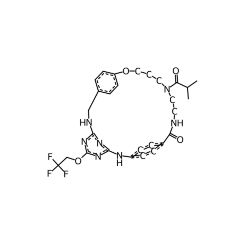 CC(C)C(=O)N1CCCOc2ccc(cc2)CNc2nc(nc(OCC(F)(F)F)n2)Nc2ccc(cc2)C(=O)NCC1